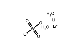 O.O.[Li+].[Li+].[O]=[W](=[O])([O-])[O-]